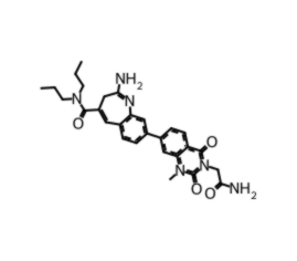 CCCN(CCC)C(=O)C1=Cc2ccc(-c3ccc4c(=O)n(CC(N)=O)c(=O)n(C)c4c3)cc2N=C(N)C1